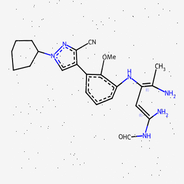 COc1c(NC(/C=C(\N)NC=O)=C(\C)N)cccc1-c1cn(C2CCCCC2)nc1C#N